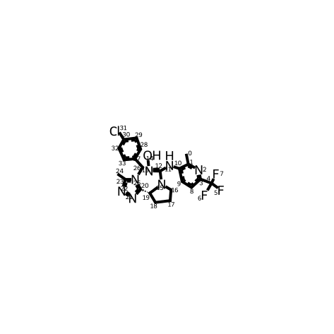 Cc1nc(C(F)(F)F)ccc1N/C(=N\O)N1CCC[C@@H]1c1nnc(C)n1Cc1ccc(Cl)cc1